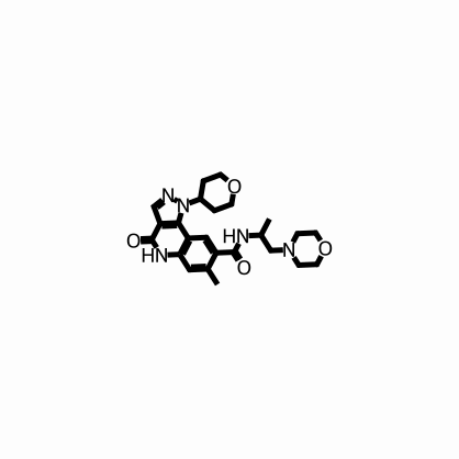 Cc1cc2[nH]c(=O)c3cnn(C4CCOCC4)c3c2cc1C(=O)NC(C)CN1CCOCC1